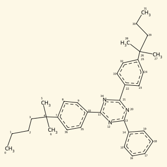 CCCCC(C)(C)c1ccc(-c2nc(-c3ccccc3)nc(-c3ccc(C(C)(C)CCC)cc3)n2)cc1